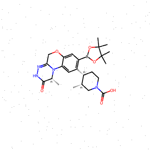 C[C@@H]1C(=O)NN=C2COc3cc(B4OC(C)(C)C(C)(C)O4)c([C@@H]4CCN(C(=O)O)C[C@@H]4C)cc3N21